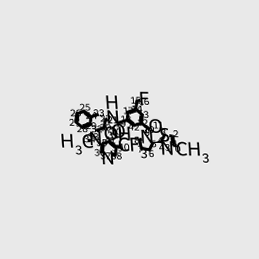 Cc1csc([C@H]2CCCN2C(=O)c2cc(CF)cc(C(=O)N[C@@H](Cc3ccccc3)[C@H](O)CN(C)c3cncc(C(F)(F)F)c3)c2)n1